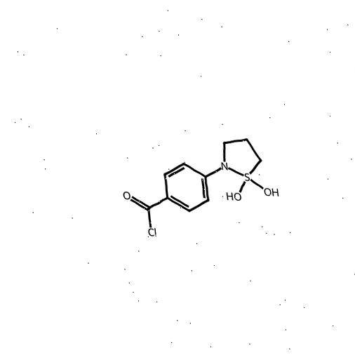 O=C(Cl)c1ccc(N2CCCS2(O)O)cc1